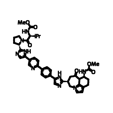 COC(=O)N[C@H]1CCc2ccn3c2C1C(=O)C[C@H](c1ncc(-c2ccc(-c4ccc(-c5cnc([C@@H]6CCCN6C(=O)[C@@H](NC(=O)OC)C(C)C)[nH]5)cn4)cc2)[nH]1)C3